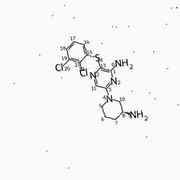 Nc1nc(N2CCC[C@H](N)C2)cnc1Sc1cccc(Cl)c1Cl